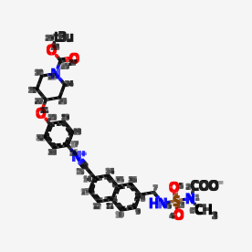 CN(C(=O)[O-])S(=O)(=O)NCc1ccc2ccc(C#[N+]c3ccc(OC4CCN(C(=O)OC(C)(C)C)CC4)cc3)cc2c1